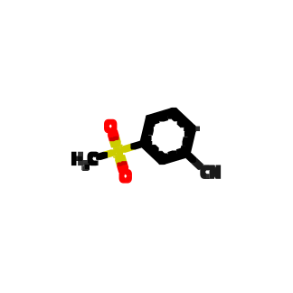 CS(=O)(=O)c1cc[c]c(C#N)c1